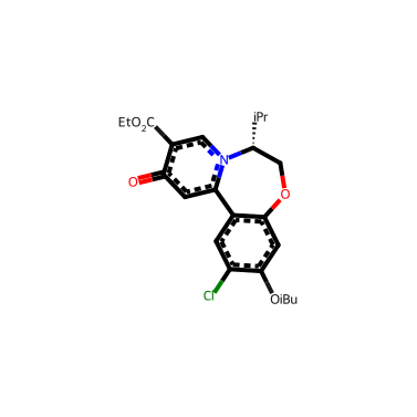 CCOC(=O)c1cn2c(cc1=O)-c1cc(Cl)c(OCC(C)C)cc1OC[C@H]2C(C)C